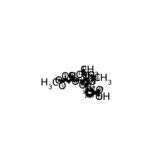 COC(=O)[C@@H](O)CC(=O)OC[C@H]1O[C@@H]([n+]2cccc(C(=O)O)c2)[C@H](OC(C)=O)[C@@H]1OC(C)=O